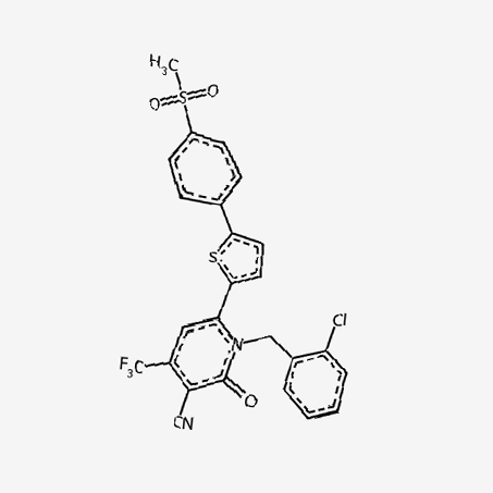 CS(=O)(=O)c1ccc(-c2ccc(-c3cc(C(F)(F)F)c(C#N)c(=O)n3Cc3ccccc3Cl)s2)cc1